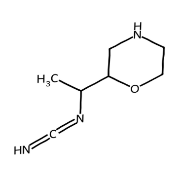 CC(N=C=N)C1CNCCO1